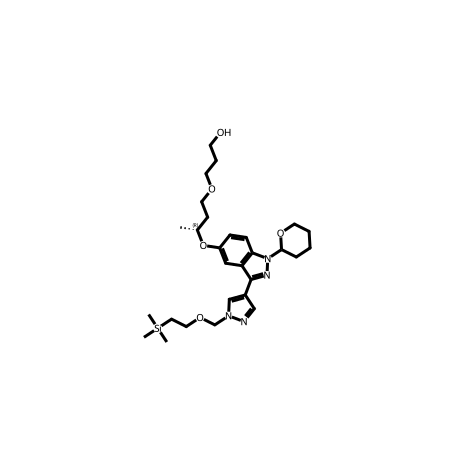 C[C@H](CCOCCCO)Oc1ccc2c(c1)c(-c1cnn(COCC[Si](C)(C)C)c1)nn2C1CCCCO1